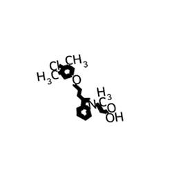 CC(=CC(=O)O)n1cc(CCCOc2cc(C)c(Cl)c(C)c2)c2ccccc21